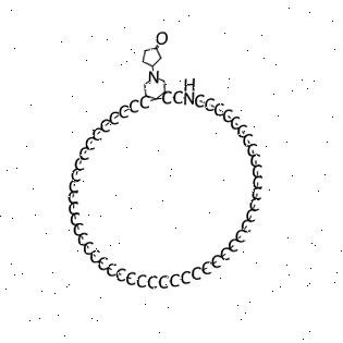 O=C1CCC(N2CCC3(CCCCCCCCCCCCCCCCCCCCCCCCCCCCCCCCCCCCCCCCCCCCCCCCNCC3)CC2)C1